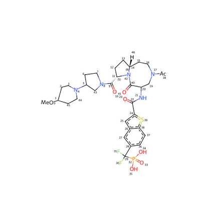 COC1CCN(C2CCN(C(=O)[C@@H]3CC[C@@H]4CCN(C(C)=O)CC(NC(=O)c5cc6cc(C(F)(F)P(=O)(O)O)ccc6s5)C(=O)N43)C2)CC1